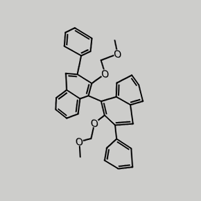 COCOc1c(-c2ccccc2)cc2ccccc2c1-c1c(OCOC)c(-c2ccccc2)cc2ccccc12